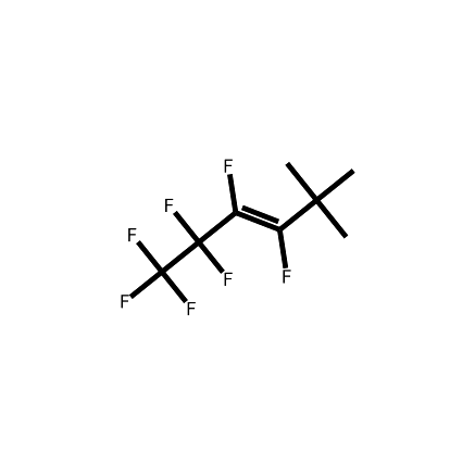 CC(C)(C)C(F)=C(F)C(F)(F)C(F)(F)F